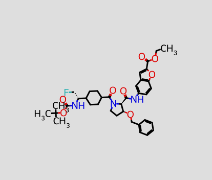 CCOC(=O)c1cc2cc(NC(=O)[C@H]3[C@@H](OCc4ccccc4)CCN3C(=O)C3CCC([C@@H](CF)NC(=O)OC(C)(C)C)CC3)ccc2o1